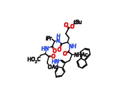 CC(=O)NC(Cc1c[nH]c2ccccc12)C(=O)NC(CCC(=O)OC(C)(C)C)C(=O)NC(C(=O)NC(CC(=O)O)C(=O)COC(C)=O)C(C)C.c1ccc2ccccc2c1